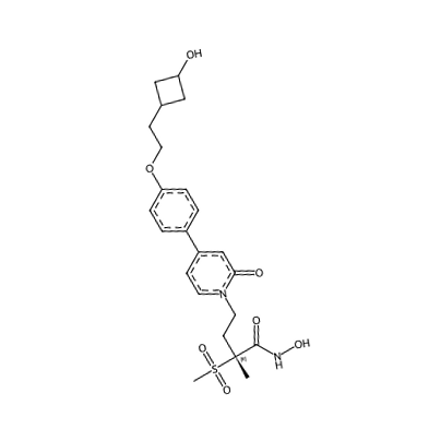 C[C@@](CCn1ccc(-c2ccc(OCCC3CC(O)C3)cc2)cc1=O)(C(=O)NO)S(C)(=O)=O